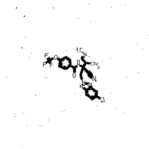 CSCC(C)C(C#N)(Cn1nc2ccc(Cl)cc2n1)NC(=O)c1ccc(OC(F)(F)F)cc1